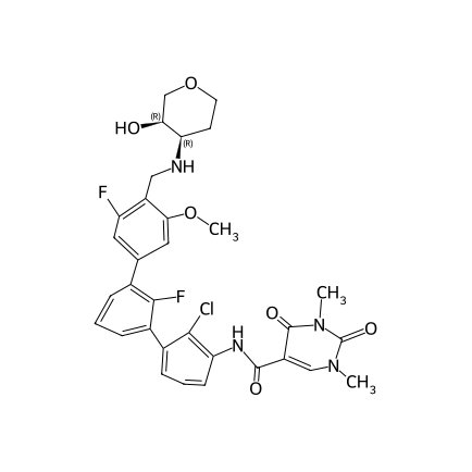 COc1cc(-c2cccc(-c3cccc(NC(=O)c4cn(C)c(=O)n(C)c4=O)c3Cl)c2F)cc(F)c1CN[C@@H]1CCOC[C@@H]1O